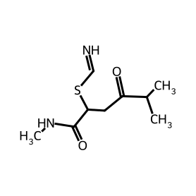 CNC(=O)C(CC(=O)C(C)C)SC=N